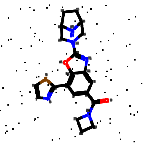 O=C(c1cc(-c2nccs2)c2oc(N3CC4CCC(C3)N4)nc2c1)N1CCC1